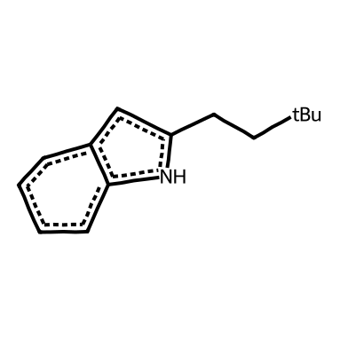 CC(C)(C)CCc1cc2ccccc2[nH]1